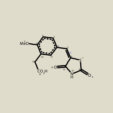 COc1ccc(/C=C2/SC(=O)NC2=O)cc1CC(=O)O